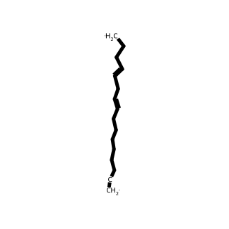 [CH2]CCC=CCC=CCCCCCCC[CH2]